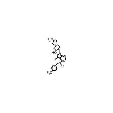 CCN(Cc1ccc(C(F)(F)F)cc1)c1ncnc2c1c(F)cn2C[C@H]1CCN(CC(N)=O)C[C@@H]1O